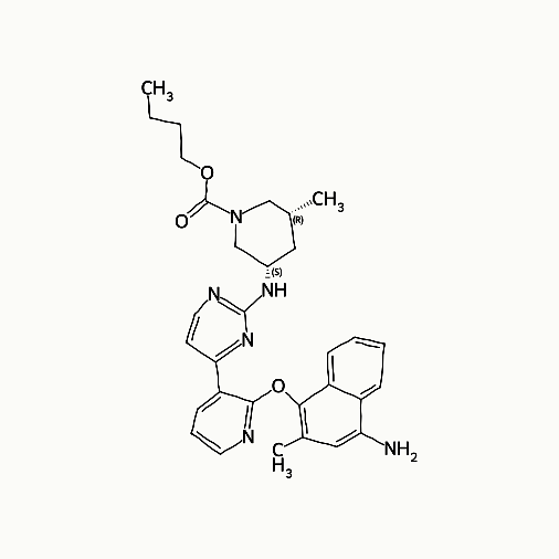 CCCCOC(=O)N1C[C@H](C)C[C@H](Nc2nccc(-c3cccnc3Oc3c(C)cc(N)c4ccccc34)n2)C1